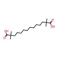 CC(C)(CCCCCCCCCCC(C)(C)C(=O)O)C(=O)O